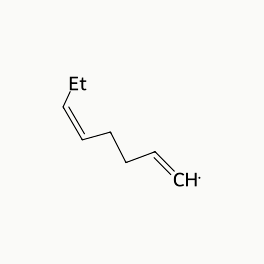 [CH]=CCC/C=C\CC